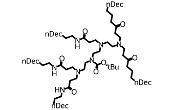 CCCCCCCCCCCCCC(=O)CCN(CCC(=O)CCCCCCCCCCCCC)CCN(CCC(=O)NCCCCCCCCCCCC)CCN(CCN(CCC(=O)NCCCCCCCCCCCC)CCC(=O)NCCCCCCCCCCCC)C(=O)OC(C)(C)C